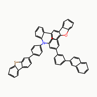 c1cc(-c2cccc(N(c3ccc(-c4ccc5c(c4)sc4ccccc45)cc3)c3ccccc3-c3ccc4oc5ccccc5c4c3)c2)cc(-c2ccc3ccccc3c2)c1